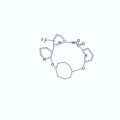 O=S1(=O)Nc2ccc(C(F)(F)F)c(n2)-c2cccnc2OC2CCCC(CCC2)Oc2cccc1n2